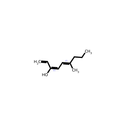 C=C/C(O)=C\C=C(/C)CCC